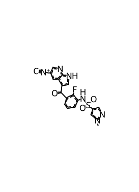 [C-]#[N+]c1cnc2[nH]cc(C(=O)c3cccc(NS(=O)(=O)c4cnn(C)c4)c3F)c2c1